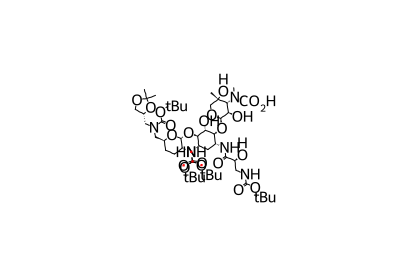 CN(C(=O)O)[C@@H]1[C@@H](O)[C@@H](O[C@@H]2[C@@H](O)[C@H](O[C@H]3O[C@H](CN(C[C@@H]4COC(C)(C)O4)C(=O)OC(C)(C)C)CC[C@H]3NC(=O)OC(C)(C)C)[C@@H](NC(=O)OC(C)(C)C)C[C@H]2NC(=O)[C@@H](O)CNC(=O)OC(C)(C)C)OC[C@]1(C)O